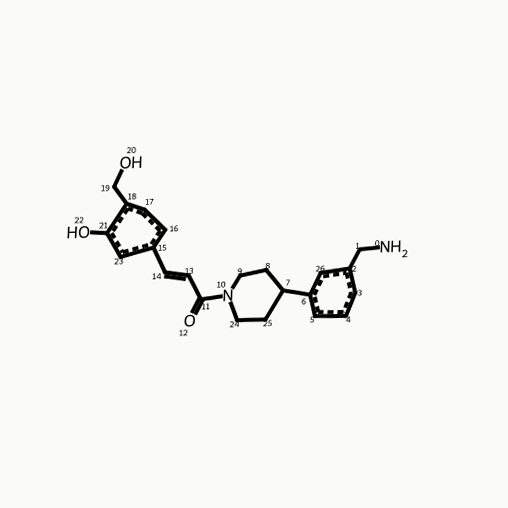 NCc1cccc(C2CCN(C(=O)C=Cc3ccc(CO)c(O)c3)CC2)c1